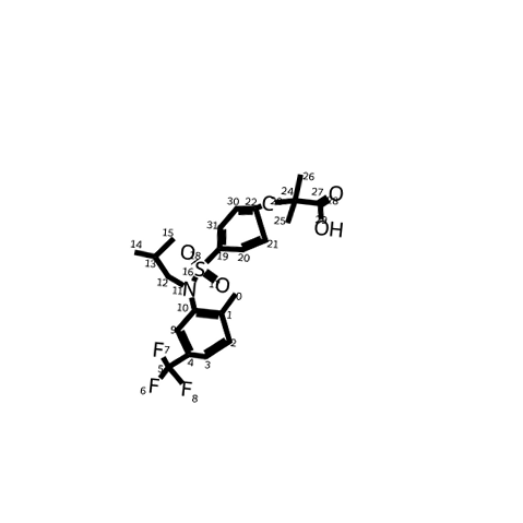 Cc1ccc(C(F)(F)F)cc1N(CC(C)C)S(=O)(=O)c1ccc(CC(C)(C)C(=O)O)cc1